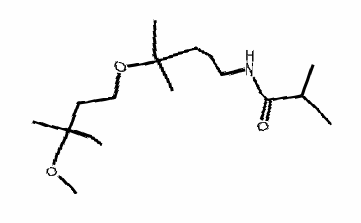 COC(C)(C)CCOC(C)(C)CCNC(=O)C(C)C